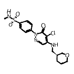 CNS(=O)(=O)c1ccc(-n2ncc(NC[C@@H]3CCCOC3)c(Cl)c2=O)cc1